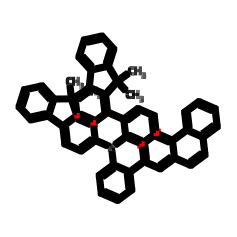 CC1(C)c2ccccc2-c2ccc(N(c3ccccc3-c3ccc4c(ccc5ccccc54)c3)c3ccccc3-c3cccc4c3C(C)(C)c3ccccc3-4)cc21